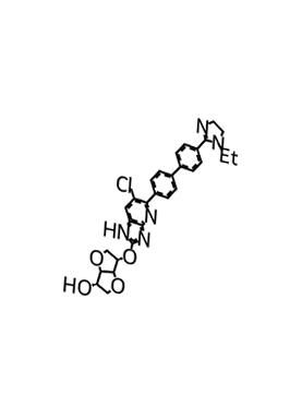 CCN1CCN=C1c1ccc(-c2ccc(-c3nc4nc(O[C@@H]5COC6C5OC[C@H]6O)[nH]c4cc3Cl)cc2)cc1